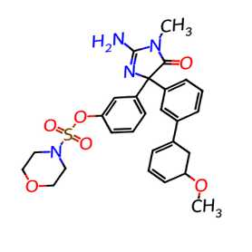 COC1C=CC=C(c2cccc(C3(c4cccc(OS(=O)(=O)N5CCOCC5)c4)N=C(N)N(C)C3=O)c2)C1